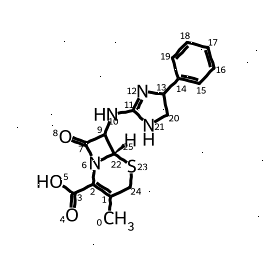 CC1=C(C(=O)O)N2C(=O)C(NC3=NC(c4ccccc4)CN3)[C@@H]2SC1